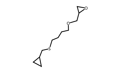 C(CCSCC1CC1)COCC1CO1